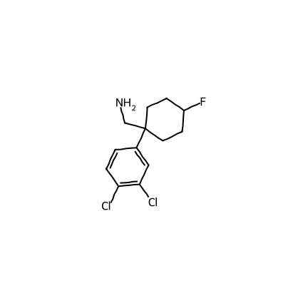 NCC1(c2ccc(Cl)c(Cl)c2)CCC(F)CC1